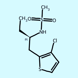 CC[C@H](Cc1sccc1Cl)NS(C)(=O)=O